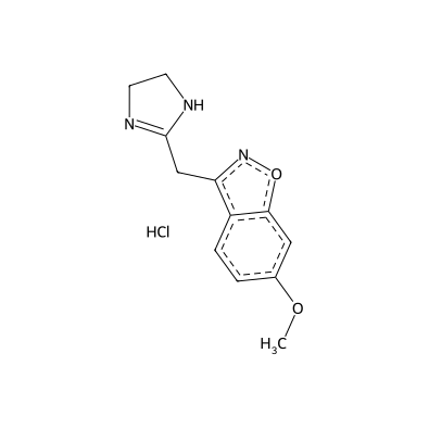 COc1ccc2c(CC3=NCCN3)noc2c1.Cl